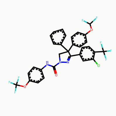 O=C(Nc1ccc(OC(F)(F)F)cc1)N1CC(c2ccccc2)(c2ccc(OC(F)F)cc2)C(c2ccc(C(F)(F)F)c(Cl)c2)=N1